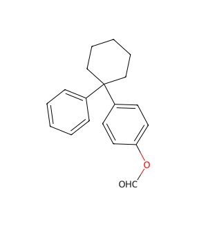 O=COc1ccc(C2(c3ccccc3)CCCCC2)cc1